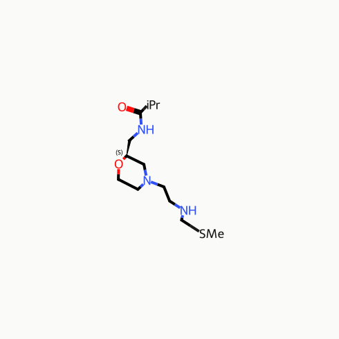 CSCNCCN1CCO[C@@H](CNC(=O)C(C)C)C1